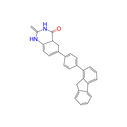 C=C1NC(=O)C2CC(c3ccc(-c4cccc5c4Cc4ccccc4-5)cc3)=CC=C2N1